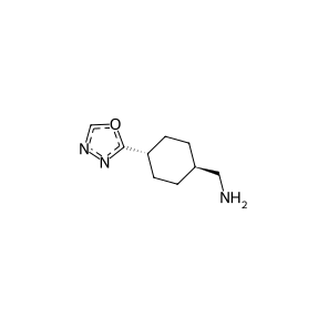 NC[C@H]1CC[C@H](c2nnco2)CC1